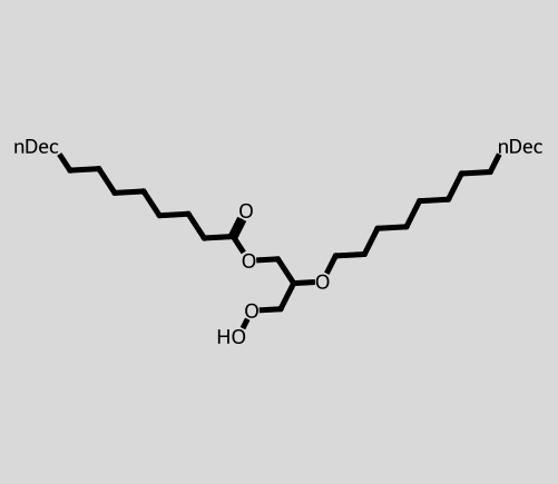 CCCCCCCCCCCCCCCCCCOC(COO)COC(=O)CCCCCCCCCCCCCCCCC